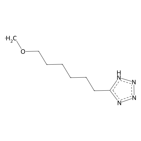 [CH2]OCCCCCCc1nnn[nH]1